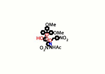 COc1ccc(C(OC[C@H]2O[C@@H](c3cc([N+](=O)[O-])c(NC(C)=O)nc3OCCc3ccc([N+](=O)[O-])cc3)C[C@H]2O)(c2ccccc2)c2ccc(OC)cc2)cc1